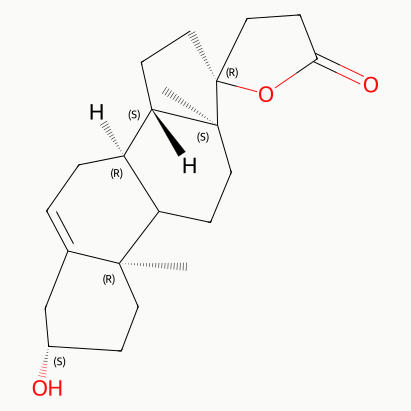 C[C@]12CC[C@H](O)CC1=CC[C@@H]1C2CC[C@@]2(C)[C@H]1CC[C@@]21CCC(=O)O1